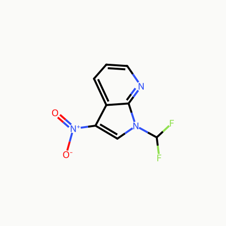 O=[N+]([O-])c1cn(C(F)F)c2ncccc12